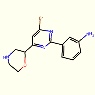 Nc1cccc(-c2nc(Br)cc(C3CNCCO3)n2)c1